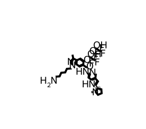 Cc1nn(CCCCCCN)c2cc(C(=O)Nc3cc4[nH]c([C@H]5CCCN5C)cc4cn3)ccc12.O=C(O)C(F)(F)F.O=C(O)C(F)(F)F